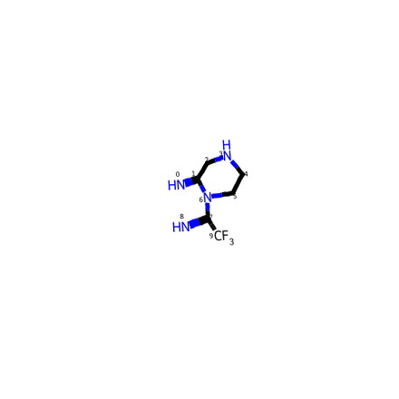 N=C1CNCCN1C(=N)C(F)(F)F